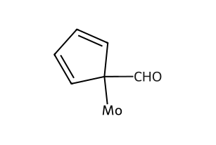 O=C[C]1([Mo])C=CC=C1